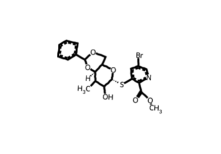 COC(=O)c1ncc(Br)cc1S[C@H]1OC2COC(c3ccccc3)O[C@@H]2C(C)C1O